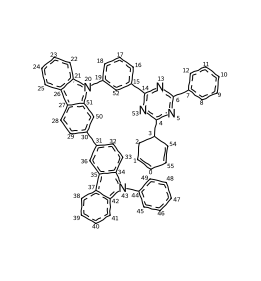 C1=CCC(c2nc(-c3ccccc3)nc(-c3cccc(-n4c5ccccc5c5ccc(-c6ccc7c(c6)c6ccccc6n7-c6ccccc6)cc54)c3)n2)C=C1